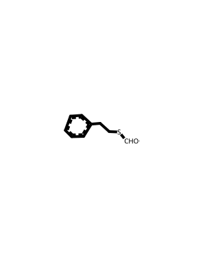 O=[C]SCCc1ccccc1